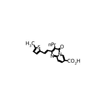 CCCc1c(C=Cc2ccc(C)s2)nc2ccc(C(=O)O)cn2c1=O